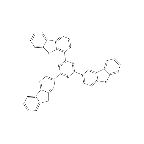 c1ccc2c(c1)Cc1cc(-c3nc(-c4ccc5oc6ccccc6c5c4)nc(-c4cccc5c4oc4ccccc45)n3)ccc1-2